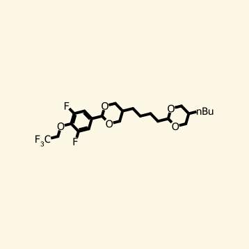 CCCCC1COC(CCCCC2COC(c3cc(F)c(OCC(F)(F)F)c(F)c3)OC2)OC1